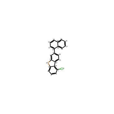 Clc1cccc2sc3cc(-c4cccc5ccccc45)ccc3c12